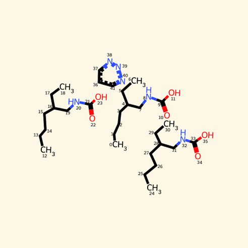 CCCCC(CC)CNC(=O)O.CCCCC(CC)CNC(=O)O.CCCCC(CC)CNC(=O)O.c1cnnnc1